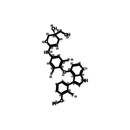 CC(C)Oc1cccc(-c2c[nH]c3nccc(Oc4c(F)cc(NC5=NC[C@](C)(CO)CO5)cc4F)c23)c1F